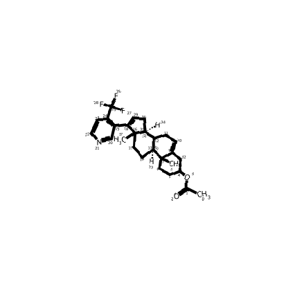 CC(=O)OC1CCC2(C)C(=CCC3[C@@H]2CCC2(C)C(c4cnccc4C(F)(F)F)=CC[C@@H]32)C1